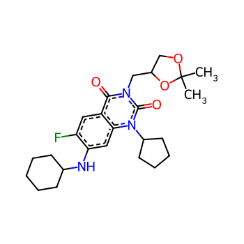 CC1(C)OCC(Cn2c(=O)c3cc(F)c(NC4CCCCC4)cc3n(C3CCCC3)c2=O)O1